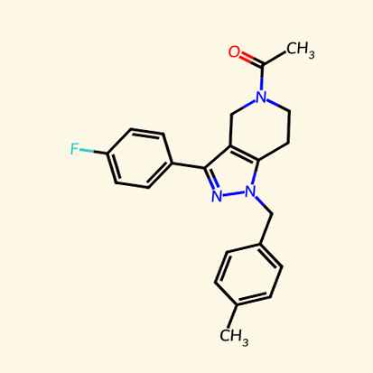 CC(=O)N1CCc2c(c(-c3ccc(F)cc3)nn2Cc2ccc(C)cc2)C1